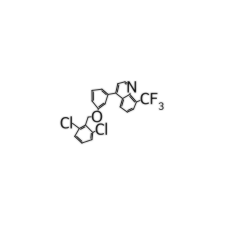 FC(F)(F)c1cccc2c(-c3cccc(OCc4c(Cl)cccc4Cl)c3)ccnc12